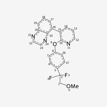 COCC(F)(F)c1ccc(Oc2ncccc2-c2cccc3nccnc23)cc1